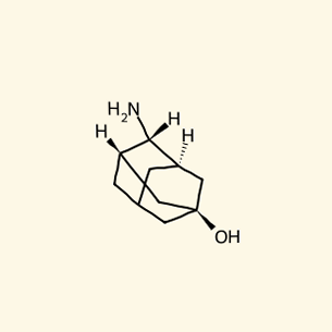 N[C@@H]1[C@@H]2CC3C[C@H]1C[C@@](O)(C3)C2